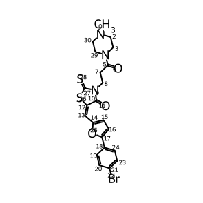 CN1CCN(C(=O)CCN2C(=O)/C(=C\c3ccc(-c4ccc(Br)cc4)o3)SC2=S)CC1